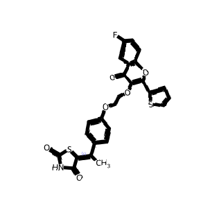 C/C(=C1/SC(=O)NC1=O)c1ccc(OCCOc2c(-c3cccs3)oc3ccc(F)cc3c2=O)cc1